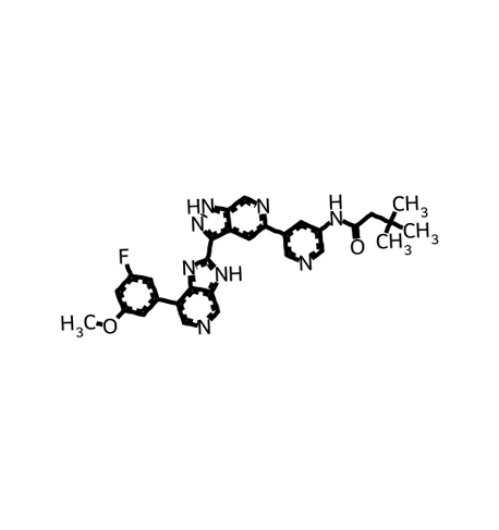 COc1cc(F)cc(-c2cncc3[nH]c(-c4n[nH]c5cnc(-c6cncc(NC(=O)CC(C)(C)C)c6)cc45)nc23)c1